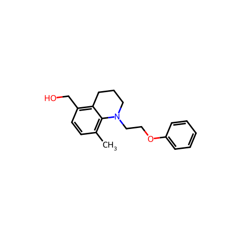 Cc1ccc(CO)c2c1N(CCOc1ccccc1)CCC2